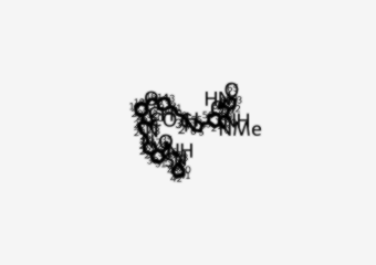 CNc1cc(C2CCN(CCCCC3CCC(Oc4cccc(-c5ccc(N6CCc7cccc(C(=O)Nc8nc9ccccc9s8)c7C6)nc5C(=O)O)c4C)CC3)C2)ccc1C(=N)C1CCC(=O)NC1=O